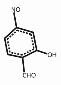 O=Cc1ccc(N=O)cc1O